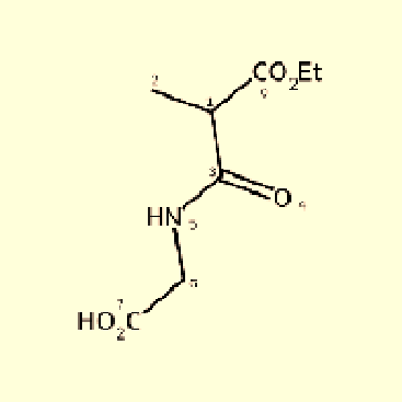 CCOC(=O)C(C)C(=O)NCC(=O)O